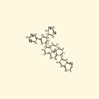 c1cnc2cc(-c3ccc4ccc5c(-c6cc(-c7cncnc7)cc(-c7cncnc7)c6)ccc6ccc3c4c65)ccc2c1